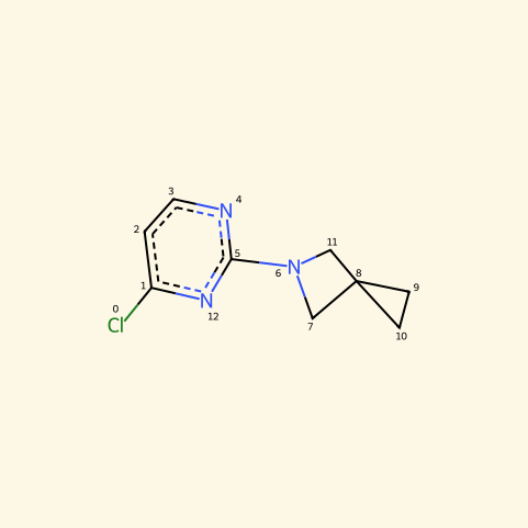 Clc1ccnc(N2CC3(CC3)C2)n1